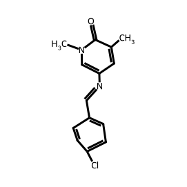 Cc1cc(N=Cc2ccc(Cl)cc2)cn(C)c1=O